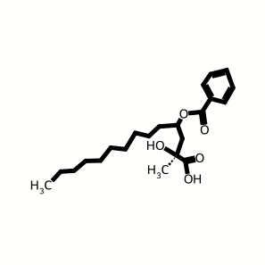 CCCCCCCCCCC(C[C@](C)(O)C(=O)O)OC(=O)c1ccccc1